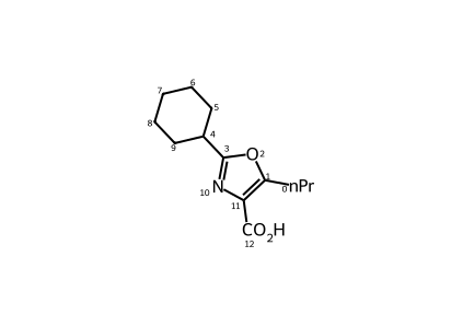 CCCc1oc(C2CCCCC2)nc1C(=O)O